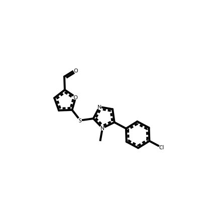 Cn1c(-c2ccc(Cl)cc2)cnc1Sc1ccc(C=O)o1